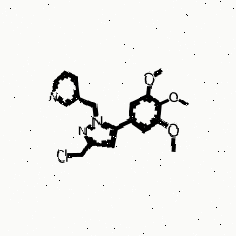 COc1cc(-c2cc(CCl)nn2Cc2cccnc2)cc(OC)c1OC